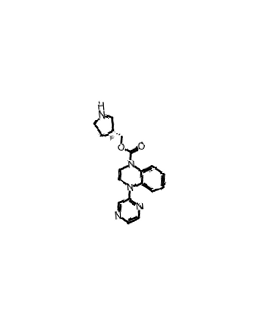 O=C(OC[C@@H]1CCNC1)N1CCN(c2cnccn2)c2ccccc21